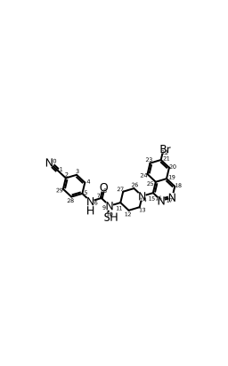 N#Cc1ccc(NC(=O)N(S)C2CCN(c3nncc4cc(Br)ccc34)CC2)cc1